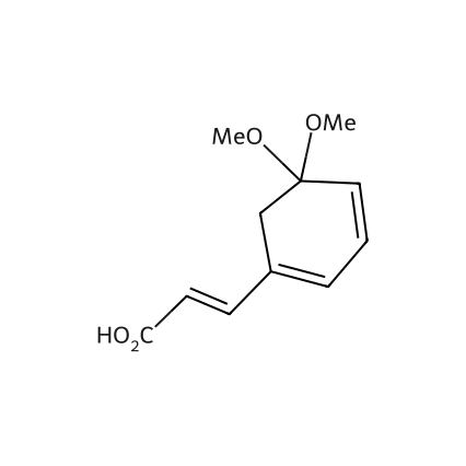 COC1(OC)C=CC=C(C=CC(=O)O)C1